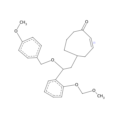 COCOc1ccccc1C(CC1C/C=C\C(=O)CCC1)OCc1ccc(OC)cc1